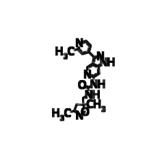 CC1=NOC(C)(CNC(=O)Nc2cc3[nH]nc(-c4ccnc(C)c4)c3cn2)C1